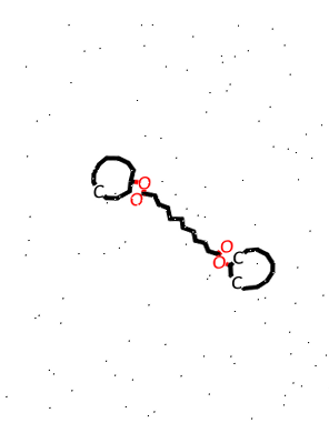 O=C(CCCCCCCCCCC(=O)OC1CCCCCCCCCCC1)OC1CCCCCCCCCCC1